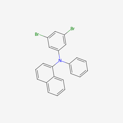 Brc1cc(Br)cc(N(c2ccccc2)c2cccc3ccccc23)c1